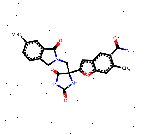 COc1ccc2c(c1)C(=O)N(C[C@@]1(c3cc4cc(C(N)=O)c(C)cc4o3)NC(=O)NC1=O)C2